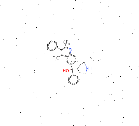 OC(c1ccccc1)(c1ccc2nc(C(F)(F)F)c(-c3ccccc3)c(C(F)(F)F)c2c1)C1CCNCC1